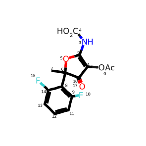 CC(=O)OC1=C(NC(=O)O)OC(C)(c2c(F)cccc2F)C1=O